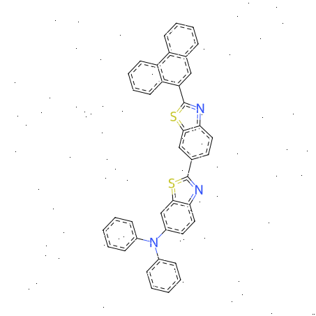 c1ccc(N(c2ccccc2)c2ccc3nc(-c4ccc5nc(-c6cc7ccccc7c7ccccc67)sc5c4)sc3c2)cc1